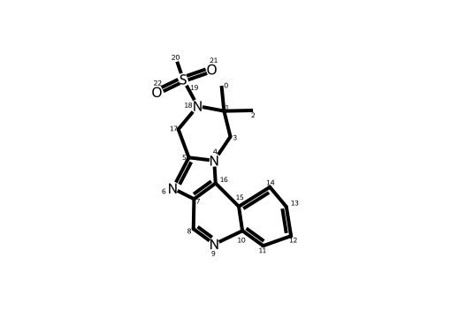 CC1(C)Cn2c(nc3cnc4ccccc4c32)CN1S(C)(=O)=O